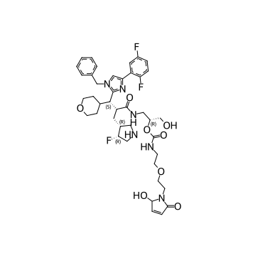 O=C(NCCOCCN1C(=O)C=CC1O)O[C@@H](CO)CNC(=O)C(C[C@@H]1CNC[C@@H]1F)[C@@H](c1nc(-c2cc(F)ccc2F)cn1Cc1ccccc1)C1CCOCC1